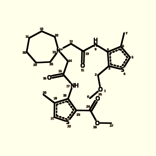 COCc1scc(C)c1NC(=O)C[N+]1(CC(=O)Nc2c(C)csc2C(=O)OC)CCCCCC1